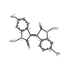 CCCCCCCCN1C(=O)/C(=C2/C(=O)N(CCCCCCCC)c3cc(C(C)(C)C)ccc32)c2ccc(C(C)(C)C)cc21